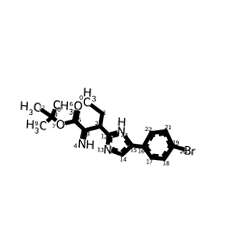 CCC(C(=N)C(=O)OC(C)(C)C)c1ncc(-c2ccc(Br)cc2)[nH]1